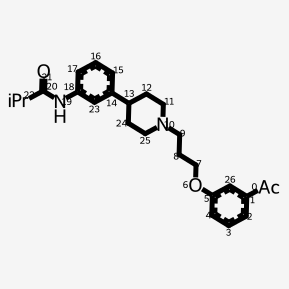 CC(=O)c1cccc(OCCCN2CCC(c3cccc(NC(=O)C(C)C)c3)CC2)c1